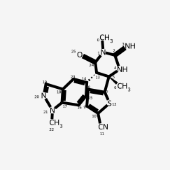 CN1C(=N)N[C@](C)(c2ccc(C#N)s2)[C@H](c2ccc3c(cnn3C)c2)C1=O